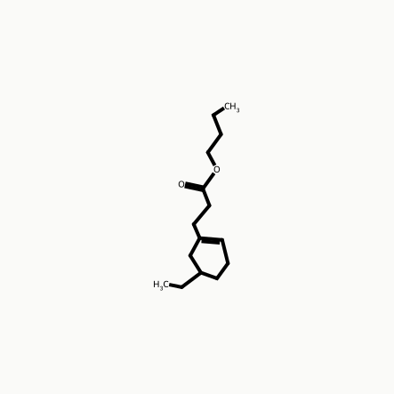 CCCCOC(=O)CCC1=CCCC(CC)C1